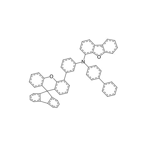 c1ccc(-c2ccc(N(c3cccc(-c4cccc5c4Oc4ccccc4C54c5ccccc5-c5ccccc54)c3)c3cccc4c3oc3ccccc34)cc2)cc1